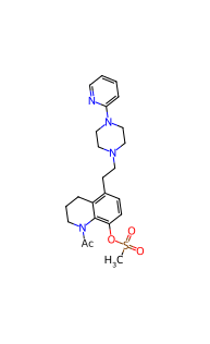 CC(=O)N1CCCc2c(CCN3CCN(c4ccccn4)CC3)ccc(OS(C)(=O)=O)c21